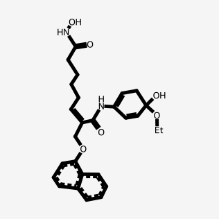 CCOC1(O)C=CC(NC(=O)C(=CCCCCC(=O)NO)COc2cccc3ccccc23)=CC1